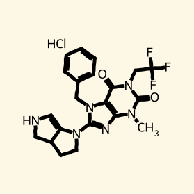 Cl.Cn1c(=O)n(CC(F)(F)F)c(=O)c2c1nc(N1CCC3CNC=C31)n2Cc1ccccc1